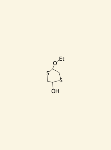 CCOC1CSC(O)CS1